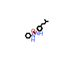 CC(C)CCc1ccc(NC(=O)NC2CCCCC2)cc1